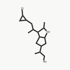 CCC(C)CC(C)C1CC2NC(C)C(C(C)CC3CC3CC)C2C1